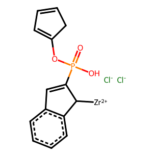 O=P(O)(OC1=CC=CC1)C1=Cc2ccccc2[CH]1[Zr+2].[Cl-].[Cl-]